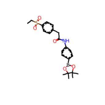 CCS(=O)(=O)c1ccc(CC(=O)Nc2ccc(B3OC(C)(C)C(C)(C)O3)cc2)cc1